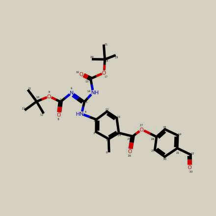 Cc1cc(N/C(=N\C(=O)OC(C)(C)C)NC(=O)OC(C)(C)C)ccc1C(=O)Oc1ccc(C=O)cc1